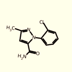 Cc1cc(C(N)=O)n(-c2ccccc2Cl)n1